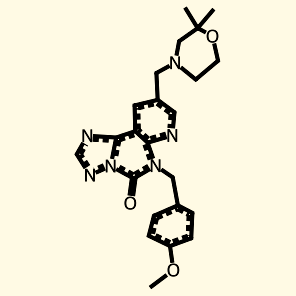 COc1ccc(Cn2c(=O)n3ncnc3c3cc(CN4CCOC(C)(C)C4)cnc32)cc1